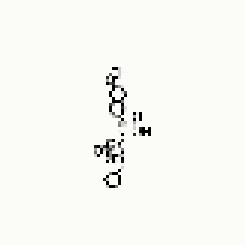 COc1ccc2cc([C@@H](CCC(COCc3ccccc3)O[N+](=O)[O-])C(=O)O)ccc2c1